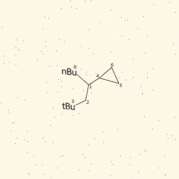 CCCCC(CC(C)(C)C)C1CC1